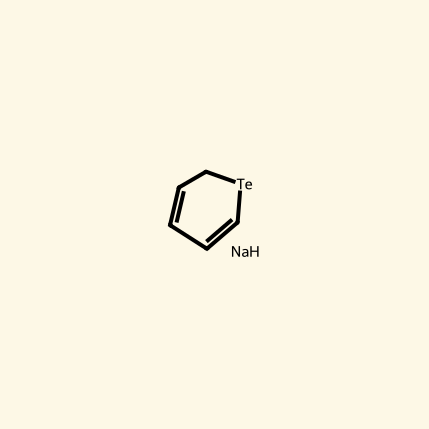 C1=CC[Te]C=C1.[NaH]